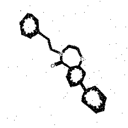 O=C1c2ccc(-c3ccccc3)cc2OCCN1CCc1ccccc1